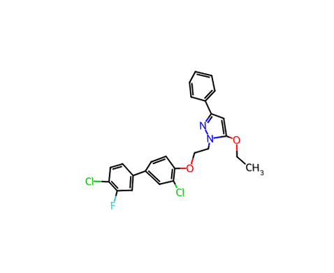 CCOc1cc(-c2ccccc2)nn1CCOc1ccc(-c2ccc(Cl)c(F)c2)cc1Cl